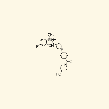 C[C@@H](NCC1CC[C@H](c2ccc(C(=O)N3CCC(O)CC3)cc2)C1)c1ccc(F)cc1O